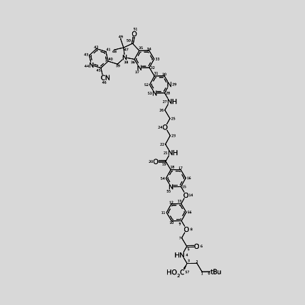 CC(C)(C)CC[C@H](NC(=O)COc1cccc(Oc2ccc(C(=O)NCCOCCNc3ncc(-c4ccc5c(n4)N(Cc4cccnc4C#N)C(C)(C)C5=O)cn3)cn2)c1)C(=O)O